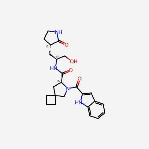 O=C1NCC[C@H]1C[C@@H](CO)NC(=O)[C@@H]1CC2(CCC2)CN1C(=O)c1cc2ccccc2[nH]1